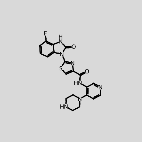 O=C(Nc1cnccc1N1CCNCC1)c1csc(-n2c(=O)[nH]c3c(F)cccc32)n1